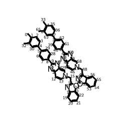 Cc1ccc(-c2ccc(-c3nc4ccn(Cc5nc6ccccc6o5)cc-4n3)cc2)cc1C.Cc1ccc(-c2ccc(-c3nc4ccn(Cc5noc6ccccc56)cc-4n3)cc2)cc1C